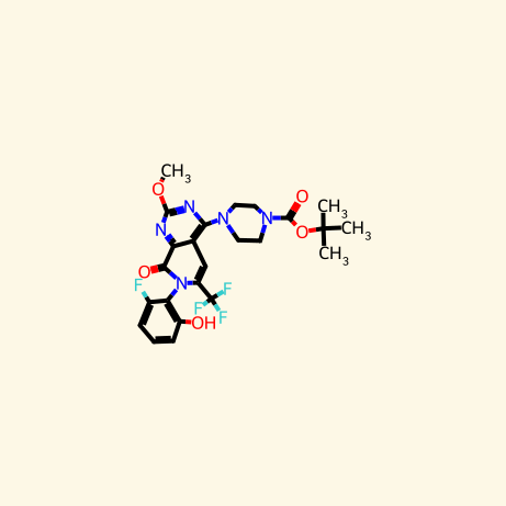 COc1nc(N2CCN(C(=O)OC(C)(C)C)CC2)c2cc(C(F)(F)F)n(-c3c(O)cccc3F)c(=O)c2n1